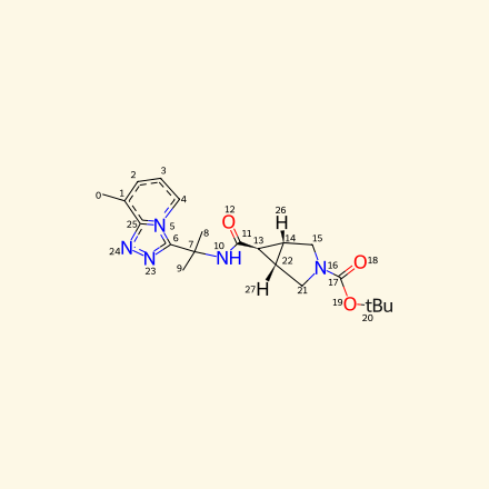 Cc1cccn2c(C(C)(C)NC(=O)[C@H]3[C@@H]4CN(C(=O)OC(C)(C)C)C[C@@H]43)nnc12